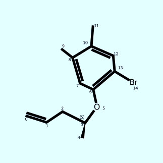 C=CC[C@H](C)Oc1cc(C)c(C)cc1Br